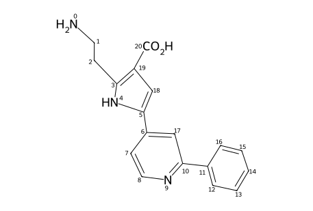 NCCc1[nH]c(-c2ccnc(-c3ccccc3)c2)cc1C(=O)O